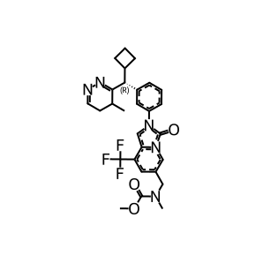 COC(=O)N(C)Cc1cc(C(F)(F)F)c2cn(-c3cccc([C@H](C4=NN=CCC4C)C4CCC4)c3)c(=O)n2c1